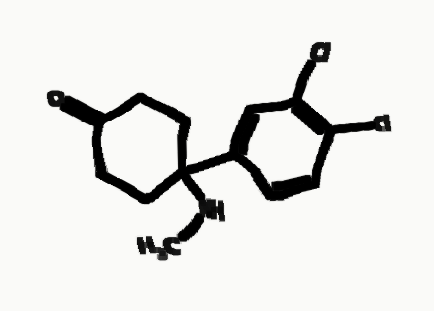 CNC1(c2ccc(Cl)c(Cl)c2)CCC(=O)CC1